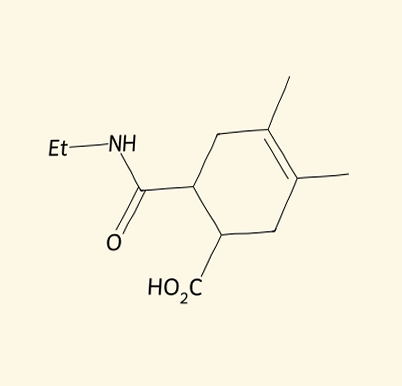 CCNC(=O)C1CC(C)=C(C)CC1C(=O)O